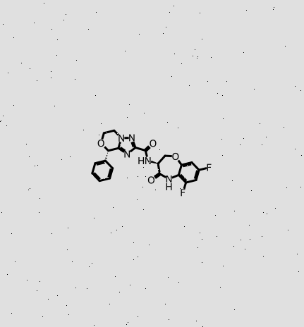 O=C(N[C@H]1COc2cc(F)cc(F)c2NC1=O)c1nc2n(n1)CCO[C@H]2c1ccccc1